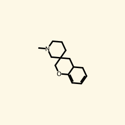 CN1CCCC2(COC3=CC=CCC3C2)C1